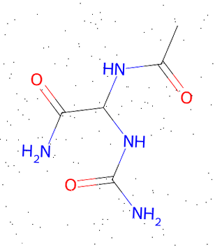 CC(=O)NC(NC(N)=O)C(N)=O